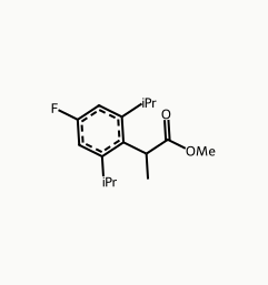 COC(=O)C(C)c1c(C(C)C)cc(F)cc1C(C)C